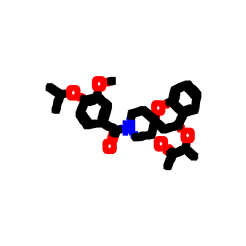 COc1cc(C(=O)N2CCC3(CC2)CC(OC(C)C(C)=O)c2ccccc2O3)ccc1OC(C)C